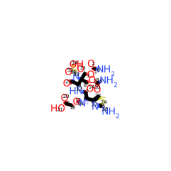 NC(=O)OCC1(COC(N)=O)C(NC(=O)/C(=N\OCC(=O)O)c2csc(N)n2)C(=O)N1S(=O)(=O)O